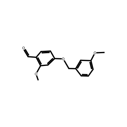 COc1cccc(COc2ccc(C=O)c(OC)c2)c1